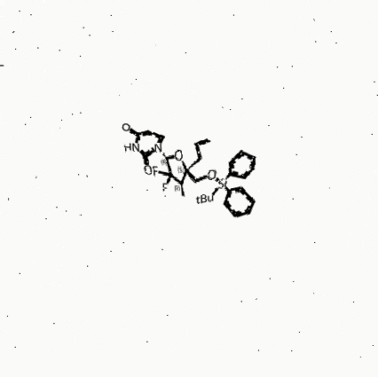 C=CC[C@]1(CO[Si](c2ccccc2)(c2ccccc2)C(C)(C)C)O[C@@H](n2ccc(=O)[nH]c2=O)C(F)(F)[C@@H]1C